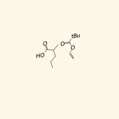 C=COC(=O)C(C)(C)C.CCCC(C)C(=O)O